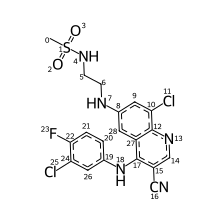 CS(=O)(=O)NCCNc1cc(Cl)c2ncc(C#N)c(Nc3ccc(F)c(Cl)c3)c2c1